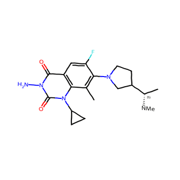 CN[C@@H](C)C1CCN(c2c(F)cc3c(=O)n(N)c(=O)n(C4CC4)c3c2C)C1